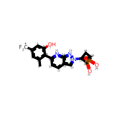 Cc1cc(C(F)(F)F)cc(O)c1-c1ccc2cn(C34CC(C3)S(=O)(=O)C4)nc2n1